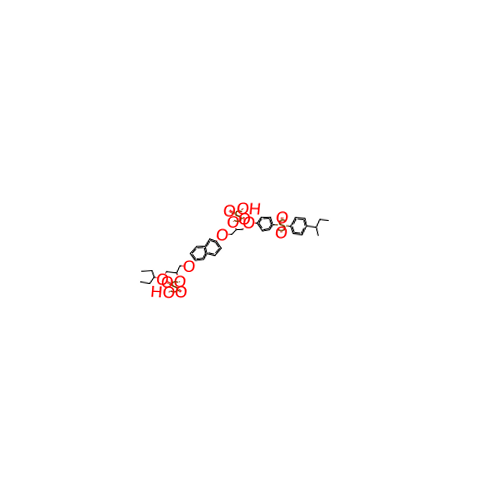 CCC(CC)OCC(COc1ccc2cc(OCC(COc3ccc(S(=O)(=O)c4ccc(C(C)CC)cc4)cc3)OS(=O)(=O)O)ccc2c1)OS(=O)(=O)O